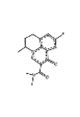 CC1CCc2cc(F)cc3c(=O)c(C(=O)N(C)C)cn1c23